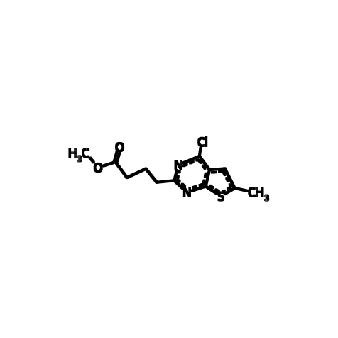 COC(=O)CCCc1nc(Cl)c2cc(C)sc2n1